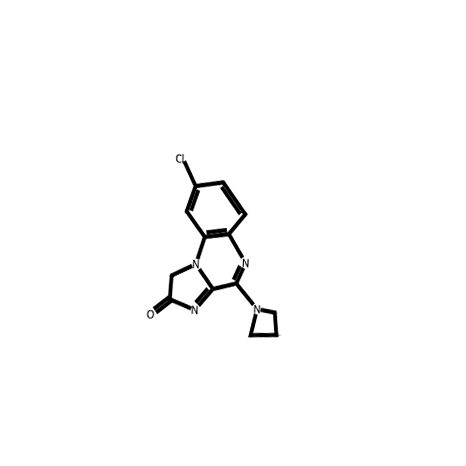 O=C1CN2C(=N1)C(N1C[CH]C1)=Nc1ccc(Cl)cc12